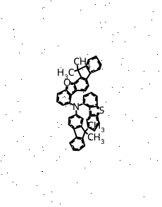 CC1(C)c2ccccc2-c2ccc(N(c3cccc4oc5c6c(ccc5c34)-c3ccccc3C6(C)C)c3cccc4sc5ccccc5c34)cc21